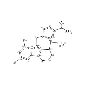 CC(=O)N(C)c1ccc(Cn2c3c(c4cc(F)cc(F)c42)CCCC3CC(=O)O)cc1